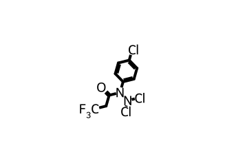 O=C(CC(F)(F)F)N(c1ccc(Cl)cc1)N(Cl)Cl